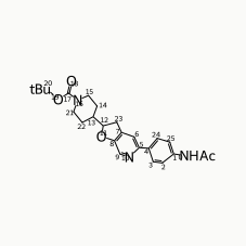 CC(=O)Nc1ccc(-c2cc3c(cn2)OC(C2CCN(C(=O)OC(C)(C)C)CC2)C3)cc1